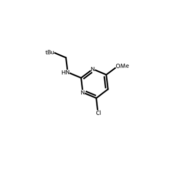 COc1cc(Cl)nc(NCC(C)(C)C)n1